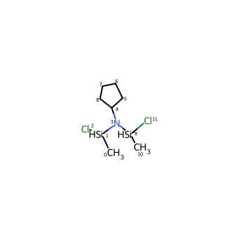 C[SiH](Cl)N(C1CCCC1)[SiH](C)Cl